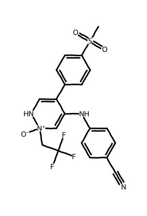 CS(=O)(=O)c1ccc(C2=CN[N+]([O-])(CC(F)(F)F)C=C2Nc2ccc(C#N)cc2)cc1